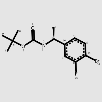 C[C@H](NC(=O)OC(C)(C)C)c1ccc(Br)c(F)c1